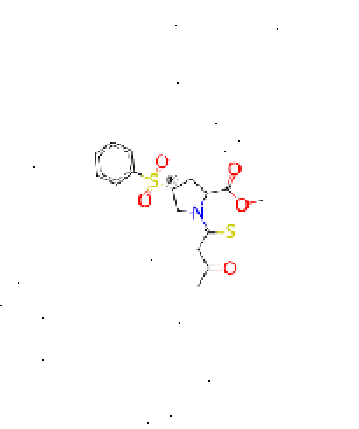 COC(=O)C1C[C@@H](S(=O)(=O)c2ccccc2)CN1C(=S)CC(C)=O